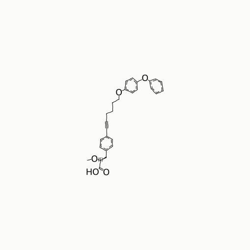 CO[C@@H](Cc1ccc(C#CCCCCOc2ccc(Oc3ccccc3)cc2)cc1)C(=O)O